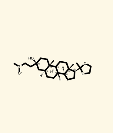 C[S+]([O-])CC[C@]1(O)CC[C@@]2(C)[C@@H](CC[C@@H]3[C@@H]2CC[C@]2(C)[C@@H](C4(C)OCCO4)CC[C@@H]32)C1